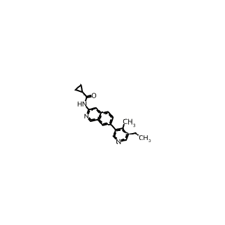 CCc1cncc(-c2ccc3cc(NC(=O)C4CC4)ncc3c2)c1C